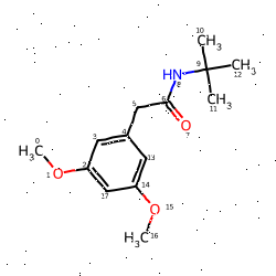 COc1cc(CC(=O)NC(C)(C)C)cc(OC)c1